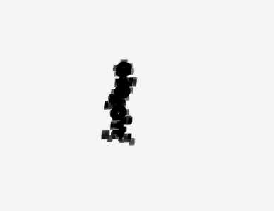 CC(C)CNC(=O)[C@H]1CC[C@H](NS(=O)(=O)c2ccc3[nH]c(-c4ccccc4)nc3c2)CC1